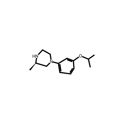 CC(C)Oc1cccc(N2CCN[C@H](C)C2)c1